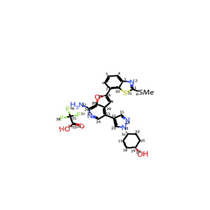 CSc1nc2cccc(-c3cc4c(-c5cnn([C@H]6CC[C@H](O)CC6)c5)cnc(N)c4o3)c2s1.O=C(O)C(F)(F)F